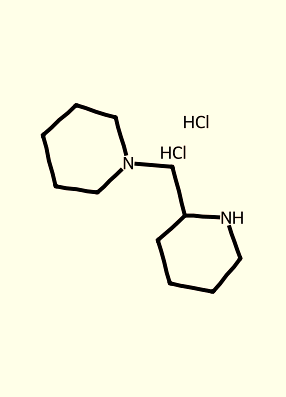 C1CCN(CC2CCCCN2)CC1.Cl.Cl